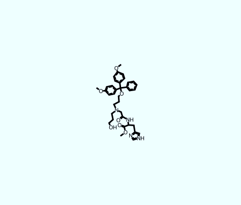 COC(=O)C(Cc1c[nH]cn1)NC(=O)CN(CCCO)CCCOC(c1ccccc1)(c1ccc(OC)cc1)c1ccc(OC)cc1